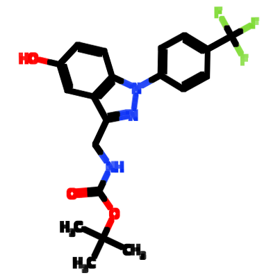 CC(C)(C)OC(=O)NCc1nn(-c2ccc(C(F)(F)F)cc2)c2ccc(O)cc12